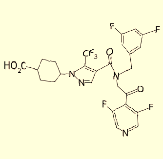 O=C(CN(Cc1cc(F)cc(F)c1)C(=O)c1cnn(C2CCC(C(=O)O)CC2)c1C(F)(F)F)c1c(F)cncc1F